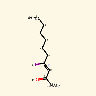 CCCCCCCCCCCC/C(I)=C/C(=O)NC